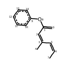 C=C(/C=C(C)\C=C/C)Oc1ccccc1